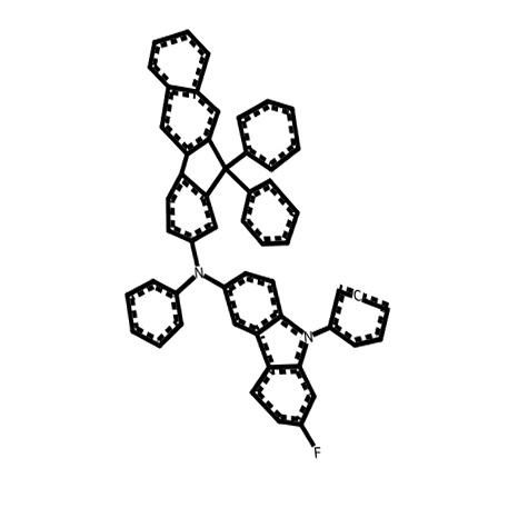 Fc1ccc2c3cc(N(c4ccccc4)c4ccc5c(c4)C(c4ccccc4)(c4ccccc4)c4cc6ccccc6cc4-5)ccc3n(-c3ccccc3)c2c1